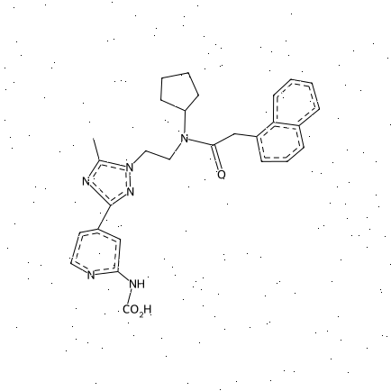 Cc1nc(-c2ccnc(NC(=O)O)c2)nn1CCN(C(=O)Cc1cccc2ccccc12)C1CCCC1